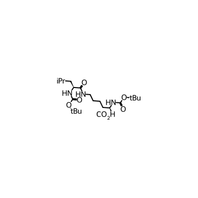 CC(C)C[C@H](NC(=O)OC(C)(C)C)C(=O)NCCCC[C@@H](NC(=O)OC(C)(C)C)C(=O)O